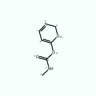 CNC(=O)OC1=CC=NCO1